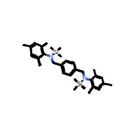 Cc1cc(C)c(N(Cc2ccc(CN(c3c(C)cc(C)cc3C)[Si](C)(C)C)cc2)[Si](C)(C)C)c(C)c1